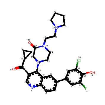 O=C(c1cnc2ccc(-c3cc(F)c(O)c(Cl)c3)cc2c1N1CCN(CCN2CCCC2)C(=O)C1)C1CC1